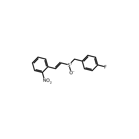 O=[N+]([O-])c1ccccc1C=C[S+]([O-])Cc1ccc(F)cc1